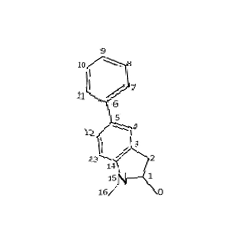 CC1Cc2cc(-c3ccccc3)ccc2N1C